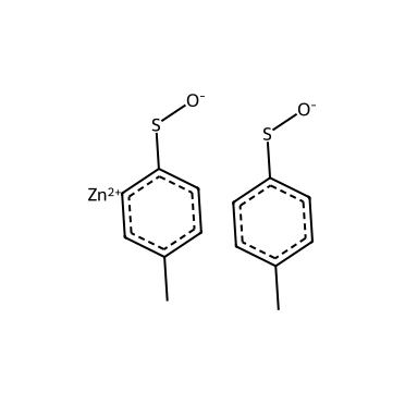 Cc1ccc(S[O-])cc1.Cc1ccc(S[O-])cc1.[Zn+2]